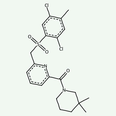 Cc1cc(Cl)c(S(=O)(=O)Cc2cccc(C(=O)N3CCCC(C)(C)C3)n2)cc1Cl